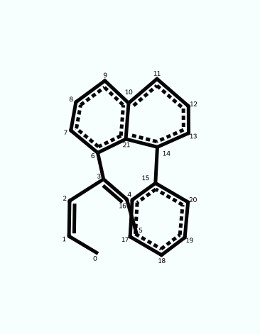 C/C=C\C(=C/C)c1cccc2cccc(-c3ccccc3)c12